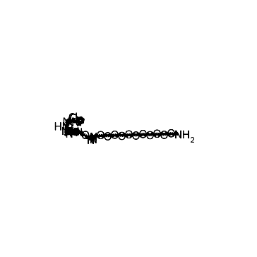 Cc1nc(Nc2ncc(C(=O)Nc3c(C)cccc3Cl)s2)cc(N2CCN(CCOCc3cn(CCOCCOCCOCCOCCOCCOCCOCCOCCOCCOCCOCCN)nn3)CC2)n1